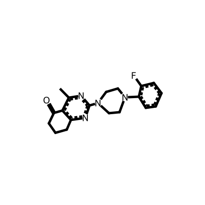 Cc1nc(N2CCN(c3ccccc3F)CC2)nc2c1C(=O)CCC2